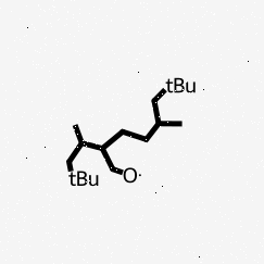 CC(CCC(C[O])C(C)CC(C)(C)C)CC(C)(C)C